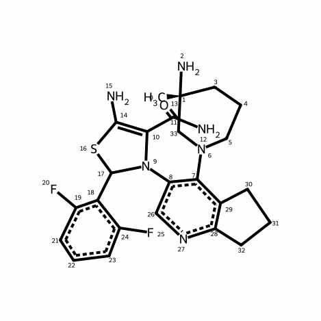 C[C@@]1(N)CCCN(c2c(N3C(C(N)=O)=C(N)SC3c3c(F)cccc3F)cnc3c2CCC3)C1